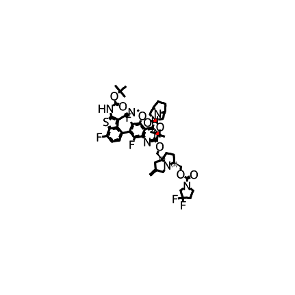 C=C1CN2[C@H](COC(=O)N3CCC(F)(F)C3)CC[C@@]2(COc2nc(N3CC4CCC(C3)N4C(=O)OC(C)(C)C)c3c(OC)c(F)c(-c4ccc(F)c5sc(NC(=O)OC(C)(C)C)c(C#N)c45)c(F)c3n2)C1